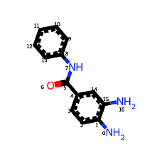 Nc1ccc(C(=O)Nc2ccccc2)cc1N